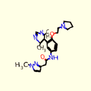 Cc1ncnc(C)c1-c1cc(NC(=O)Cc2ccn(C)n2)ccc1OCCN1CCCC1